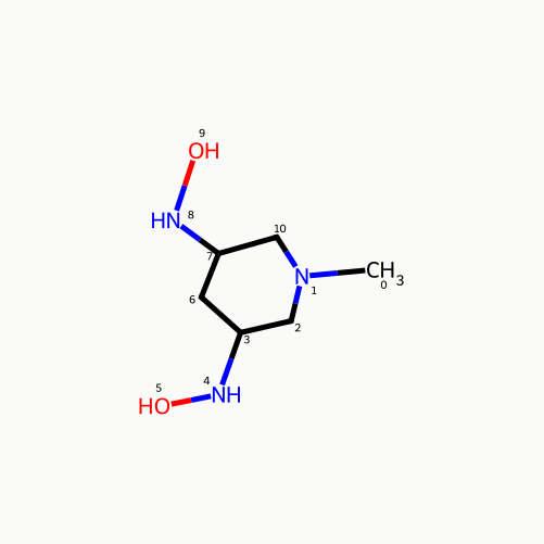 CN1CC(NO)CC(NO)C1